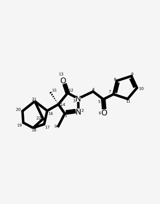 CC1=NN(CC(=O)C2=CC=CC2)C(=O)[C@]1(C)C1CC2CCC1C2